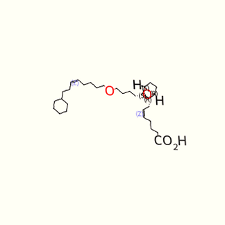 O=C(O)CCC/C=C\C[C@@H]1[C@H](CCCCOCCCC/C=C\CCC2CCCCC2)[C@@H]2CC[C@H]1O2